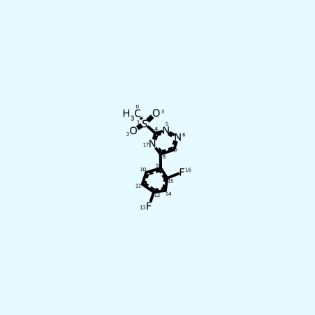 CS(=O)(=O)c1nncc(-c2ccc(F)cc2F)n1